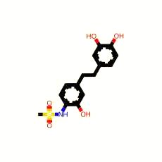 CS(=O)(=O)Nc1ccc(CCc2ccc(O)c(O)c2)cc1O